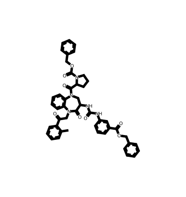 Cc1ccccc1C(=O)CN1C(=O)C(NC(=O)Nc2cccc(C(=O)OCc3ccccc3)c2)CN(C(=O)C2CCCN2C(=O)OCc2ccccc2)c2ccccc21